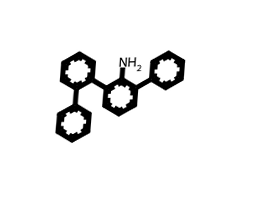 Nc1c(-c2ccccc2)cccc1-c1ccccc1-c1ccccc1